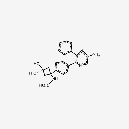 C[C@]1(O)C[C@](NC(=O)O)(c2ccc(-c3ncc(N)cc3-c3ccccc3)cc2)C1